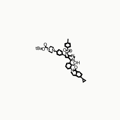 Cc1ccc(S(=O)(=O)n2c(-c3ccc(N4CCN(C(=O)OC(C)(C)C)CC4)cc3)cc3c(-c4cccc(-n5ccc6cc(C7CC7)ccc6c5=O)c4CO)ncnc32)cc1